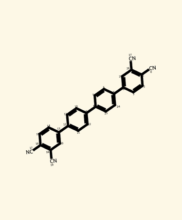 N#Cc1ccc(-c2ccc(-c3ccc(-c4ccc(C#N)c(C#N)c4)cc3)cc2)cc1C#N